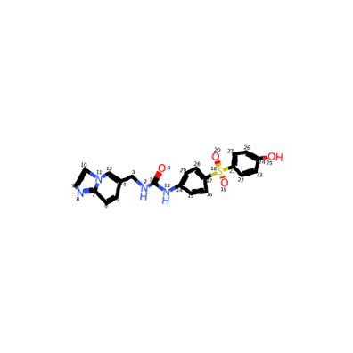 O=C(NCc1ccc2nccn2c1)Nc1ccc(S(=O)(=O)c2ccc(O)cc2)cc1